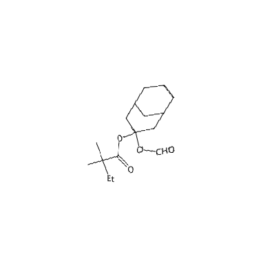 CCC(C)(C)C(=O)OC1(OC=O)CC2CCCC(C2)C1